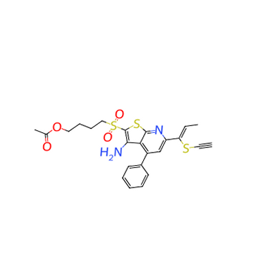 C#CS/C(=C\C)c1cc(-c2ccccc2)c2c(N)c(S(=O)(=O)CCCCOC(C)=O)sc2n1